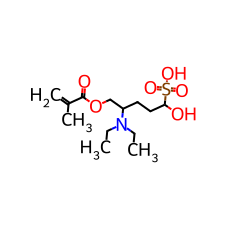 C=C(C)C(=O)OCC(CCC(O)S(=O)(=O)O)N(CC)CC